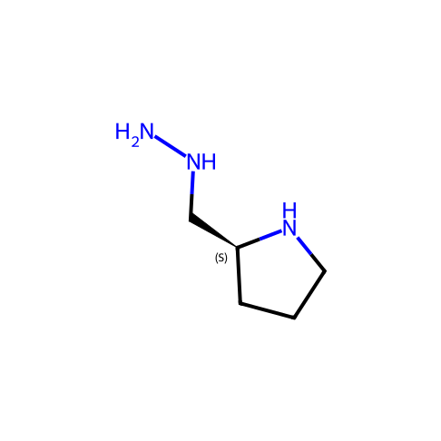 NNC[C@@H]1CCCN1